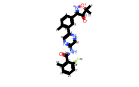 Cc1ccc(C2=NOC(C)(C)C2=O)cc1-c1cnc(NC(=O)c2c(C)cccc2F)cn1